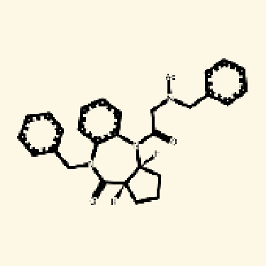 CC(=O)N(CC(=O)N1c2ccccc2N(Cc2ccccc2)C(=O)[C@H]2CCC[C@H]21)Cc1ccccc1